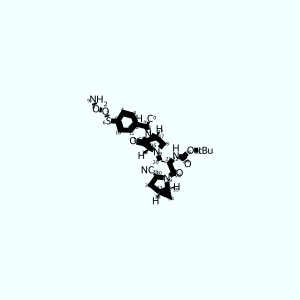 C[C@H](c1ccc(SOON)cc1)N1C(=O)[C@@H]2C[C@H]1CN2C[C@H](NC(=O)OC(C)(C)C)C(=O)N1[C@H](C#N)C[C@@H]2C[C@@H]21